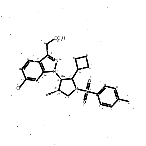 Cc1ccc(S(=O)(=O)N2C[C@@H](C)[C@@H](n3nc(CC(=O)O)c4ccc(Cl)cc43)C2C2CCC2)cc1